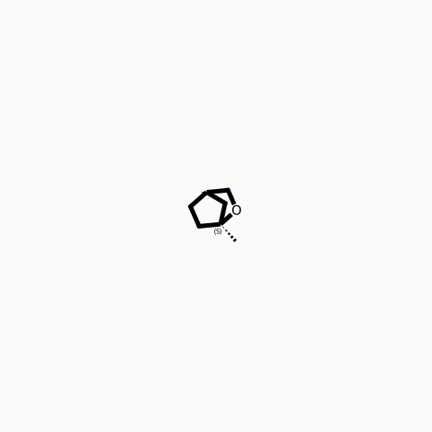 C[C@@]12CC[C](CO1)C2